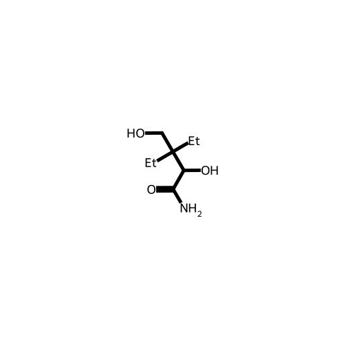 CCC(CC)(CO)C(O)C(N)=O